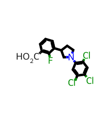 O=C(O)c1cccc(C2CCN(c3cc(Cl)c(Cl)cc3Cl)C2)c1F